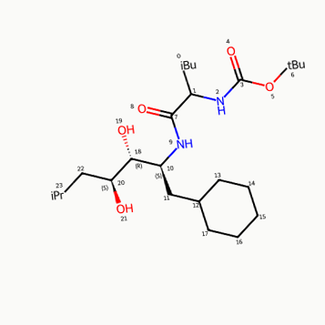 CCC(C)C(NC(=O)OC(C)(C)C)C(=O)N[C@@H](CC1CCCCC1)[C@@H](O)[C@@H](O)CC(C)C